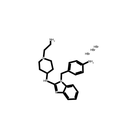 Br.Br.Br.NCCN1CCC(Nc2nc3ccccc3n2Cc2ccc(N)cc2)CC1